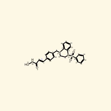 O=C(/C=C/c1ccc(CN2CCN(S(=O)(=O)c3ccccc3)c3ccccc32)cc1)NO